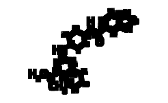 CN(C)c1nc(N[C@H]2CC[C@@H](NC(=O)c3ccc4nonc4c3)CC2)nc2c1CCCC2